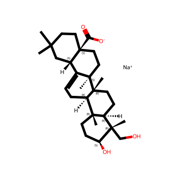 CC1(C)CC[C@]2(C(=O)[O-])CC[C@]3(C)C(=CC[C@@H]4[C@@]5(C)CC[C@H](O)[C@@](C)(CO)[C@@H]5CC[C@]43C)[C@@H]2C1.[Na+]